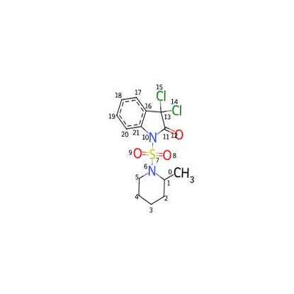 CC1CCCCN1S(=O)(=O)N1C(=O)C(Cl)(Cl)c2ccccc21